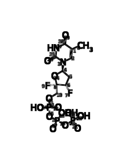 Cc1cn([C@H]2C[C@H](F)[C@@](F)(COP(=O)(O)OP(=O)(O)OP(=O)(O)O)O2)c(=O)[nH]c1=O